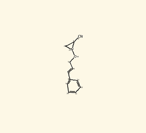 N#CC1CN1OCC=Cc1ccccc1